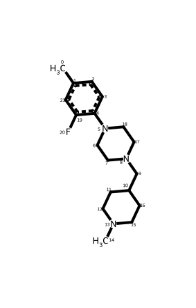 Cc1ccc(N2CCN(CC3CCN(C)CC3)CC2)c(F)c1